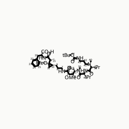 CC[C@H](C)[C@@H]([C@@H](CC(=O)NCCC[C@@H]1C[C@@]1(OC)[C@@H](C)C(=O)N[C@@H](Cc1ccccc1)C(=O)O)OC)N(C)C(=O)[C@@H](NC(=O)[C@H](C(C)C)N(C)CCCNC(=O)OC(C)(C)C)C(C)C